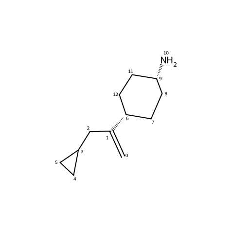 C=C(CC1CC1)[C@H]1CC[C@@H](N)CC1